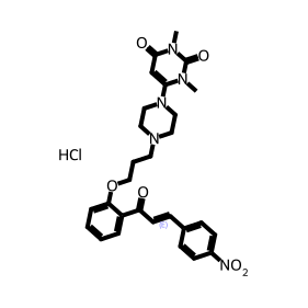 Cl.Cn1c(N2CCN(CCCOc3ccccc3C(=O)/C=C/c3ccc([N+](=O)[O-])cc3)CC2)cc(=O)n(C)c1=O